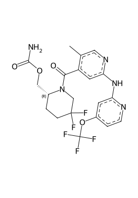 Cc1cnc(Nc2cc(OC(F)(F)F)ccn2)cc1C(=O)N1CC(F)(F)CC[C@@H]1COC(N)=O